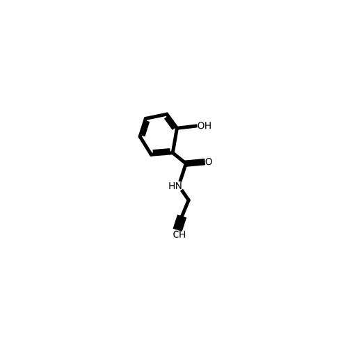 C#CCNC(=O)c1ccccc1O